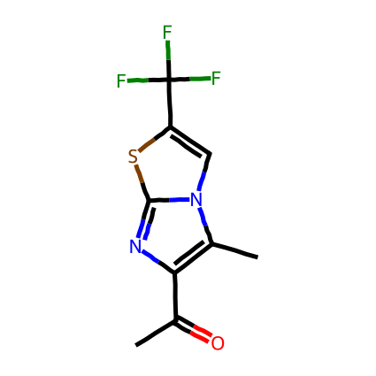 CC(=O)c1nc2sc(C(F)(F)F)cn2c1C